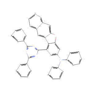 c1ccc(-c2nc(-c3ccccc3)nc(-c3cc(N(c4ccccc4)c4ccccc4)cc4oc5cc6ccccc6cc5c34)n2)cc1